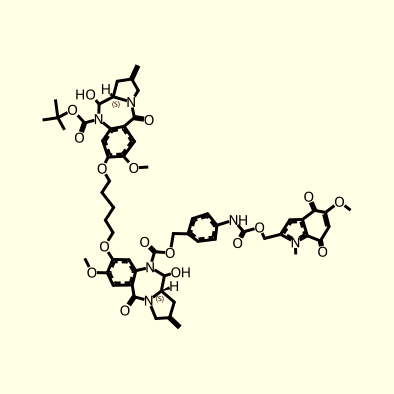 C=C1C[C@H]2C(O)N(C(=O)OCc3ccc(NC(=O)OCc4cc5c(n4C)C(=O)C=C(OC)C5=O)cc3)c3cc(OCCCCCOc4cc5c(cc4OC)C(=O)N4CC(=C)C[C@H]4C(O)N5C(=O)OC(C)(C)C)c(OC)cc3C(=O)N2C1